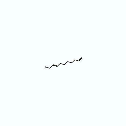 C=CCCCCC/C=C/CCl